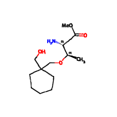 COC(=O)[C@@H](N)[C@@H](C)OCC1(CO)CCCCC1